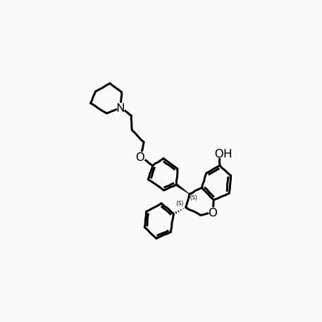 Oc1ccc2c(c1)[C@H](c1ccc(OCCCN3CCCCC3)cc1)[C@@H](c1ccccc1)CO2